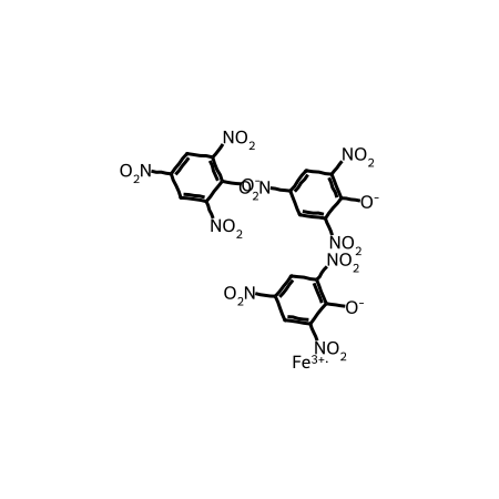 O=[N+]([O-])c1cc([N+](=O)[O-])c([O-])c([N+](=O)[O-])c1.O=[N+]([O-])c1cc([N+](=O)[O-])c([O-])c([N+](=O)[O-])c1.O=[N+]([O-])c1cc([N+](=O)[O-])c([O-])c([N+](=O)[O-])c1.[Fe+3]